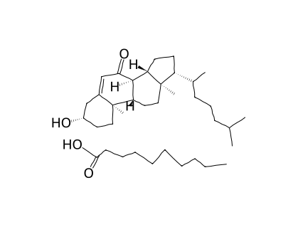 CC(C)CCCC(C)[C@H]1CC[C@H]2[C@@H]3C(=O)C=C4C[C@@H](O)CC[C@]4(C)[C@H]3CC[C@]12C.CCCCCCCCCC(=O)O